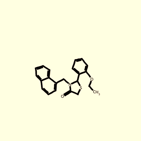 CCOc1ccccc1C1SCC(=O)N1Cc1cccc2ccccc12